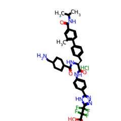 Cc1cc(C(=O)NC(C)C)ccc1-c1ccc(C[C@H](NC(=O)C2CCC(CN)CC2)C(=O)Nc2ccc(-c3nnc(C(F)(F)C(F)(F)C(=O)O)[nH]3)cc2)cc1.Cl